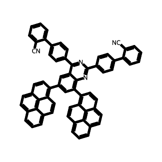 N#Cc1ccccc1-c1ccc(-c2nc(-c3ccc(-c4ccccc4C#N)cc3)c3cc(-c4ccc5ccc6cccc7ccc4c5c67)cc(-c4ccc5ccc6cccc7ccc4c5c67)c3n2)cc1